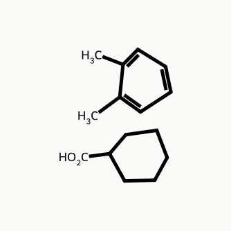 Cc1ccccc1C.O=C(O)C1CCCCC1